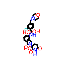 O=C1CCC(O)(N2Cc3c(NC(O)(O)c4ccc(CN5CCOCC5)cc4F)cccc3C2=O)C(=O)N1